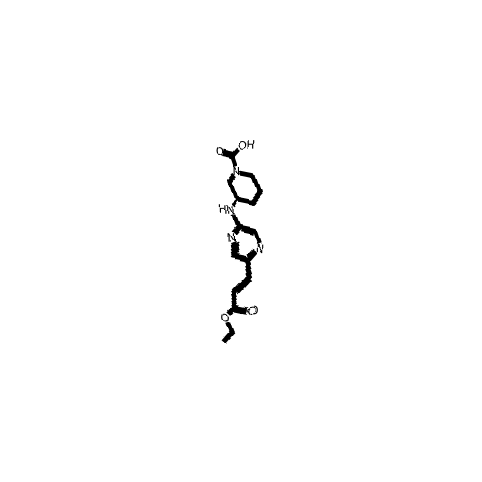 CCOC(=O)C=Cc1cnc(N[C@@H]2CCCN(C(=O)O)C2)cn1